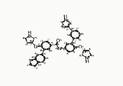 O=C(Nc1ccc(O[C@@H]2CCNC2)c(-c2cccc(-c3nn[nH]n3)c2)c1)c1ccc(O[C@H]2CCNC2)c(-c2ccc3ccsc3c2)c1